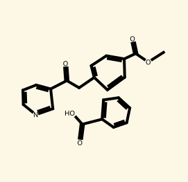 COC(=O)c1ccc(CC(=O)c2cccnc2)cc1.O=C(O)c1ccccc1